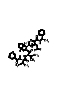 CC(C)[C@H](NC(=O)c1cnccn1)C(=O)N[C@H](C(=O)N1C[C@@H]2CCC[C@@H]2[C@H]1C(=O)NC(CC(F)F)C(=O)C(=O)N[C@@H](C)c1ccccc1)C(C)C